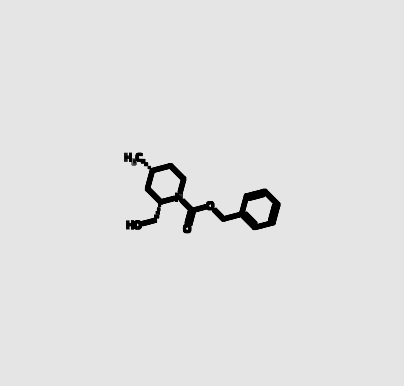 C[C@@H]1CCN(C(=O)OCc2ccccc2)[C@H](CO)C1